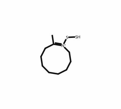 C/C1=[N+](\SS)CCCCCCCC1